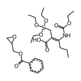 CCCC(NC(=O)OCC)=C(C[Si](OCC)(OCC)OCC)C(=O)O.O=C(OCC1CO1)c1ccccc1